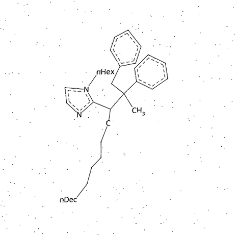 CCCCCCCCCCCCCCCC(c1nccn1CCCCCC)C(C)(Cc1ccccc1)c1ccccc1